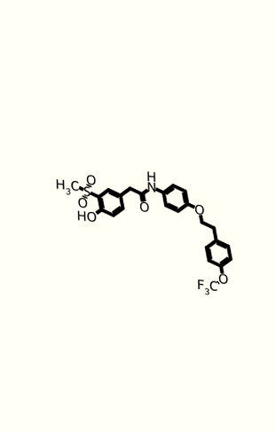 CS(=O)(=O)c1cc(CC(=O)Nc2ccc(OCCc3ccc(OC(F)(F)F)cc3)cc2)ccc1O